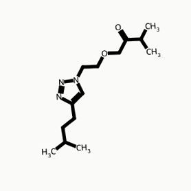 CC(C)CCc1cn(CCOCC(=O)C(C)C)nn1